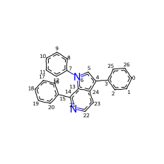 c1ccc(-c2cn(-c3ccccc3)c3c(-c4ccccc4)nccc23)cc1